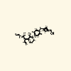 CCOC(=O)c1cnn2c1C(=O)N(c1ccc(CC34CC(CO)(C3)C4)cc1)CC2